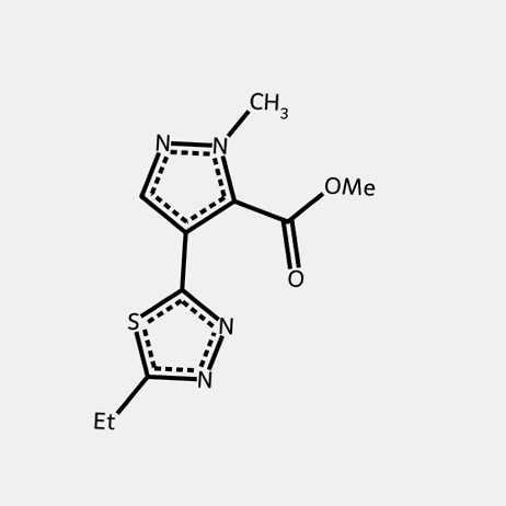 CCc1nnc(-c2cnn(C)c2C(=O)OC)s1